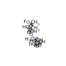 CC(=NOC(C)[C@H]1O[C@@H](Oc2ccc(/C=C(\C)C(=O)N[C@@H]3[C@H](O)[C@@H](O)[C@H]4OCO[C@H]4[C@@H]3O)cc2O)C[C@@H]1O)c1ccc(F)cc1